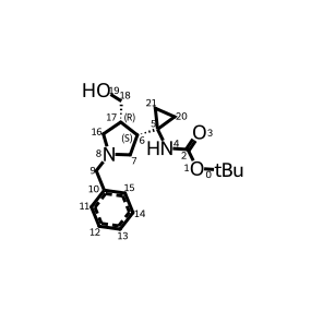 CC(C)(C)OC(=O)NC1([C@@H]2CN(Cc3ccccc3)C[C@@H]2CO)CC1